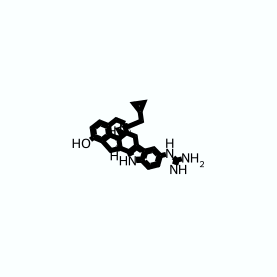 N=C(N)Nc1ccc2[nH]c3c(c2c1)C[C@@]1(O)C2Cc4ccc(O)c5c4[C@@]1(CCN2CC1CC1)[C@H]3C5